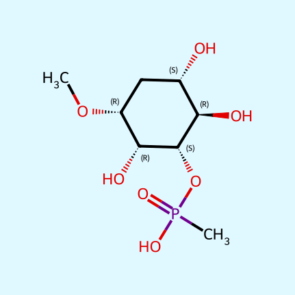 CO[C@@H]1C[C@H](O)[C@@H](O)[C@H](OP(C)(=O)O)[C@@H]1O